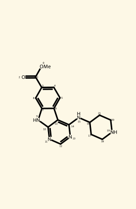 COC(=O)c1ccc2c(c1)[nH]c1ncnc(NC3CCNCC3)c12